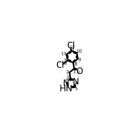 O=C(Cc1nc[nH]n1)c1ccc(Cl)cc1Cl